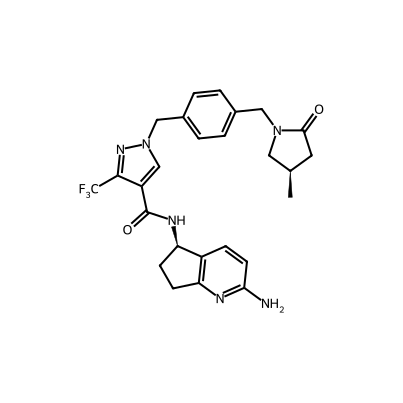 C[C@@H]1CC(=O)N(Cc2ccc(Cn3cc(C(=O)N[C@@H]4CCc5nc(N)ccc54)c(C(F)(F)F)n3)cc2)C1